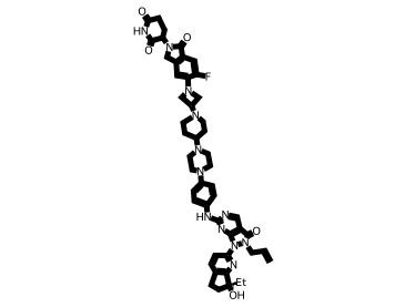 C=CCn1c(=O)c2cnc(Nc3ccc(N4CCN(C5CCN(C6CN(c7cc8c(cc7F)C(=O)N(C7CCC(=O)NC7=O)C8)C6)CC5)CC4)cc3)nc2n1-c1ccc2c(n1)[C@@](O)(CC)CC2